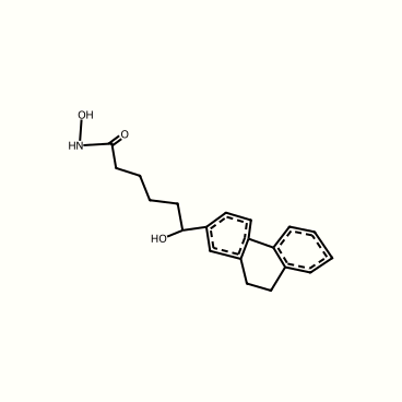 O=C(CCCCC(O)c1ccc2c(c1)CCc1ccccc1-2)NO